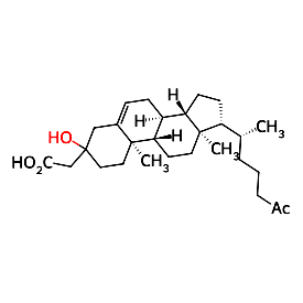 CC(=O)CCC[C@@H](C)[C@H]1CC[C@H]2[C@@H]3CC=C4CC(O)(CC(=O)O)CC[C@]4(C)[C@H]3CC[C@]12C